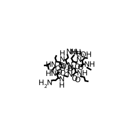 CCCC(=O)NC(CN)C(=O)NCC(=O)NC(CCN)C(=O)N[C@H](CC(C)C)C(=O)NC(CC)C(=O)NC(CCN)C(=O)NC(CCN)C(=O)NC(C(=O)NCC)C(C)O